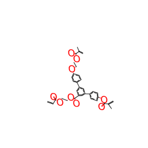 C=CC(=O)OCCOC(=O)c1cc(-c2ccc(OCCOC(=O)C(=C)C)cc2)cc(-c2ccc(OC(=O)C(=C)C)cc2)c1